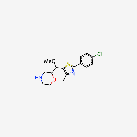 COC(c1sc(-c2ccc(Cl)cc2)nc1C)C1CNCCO1